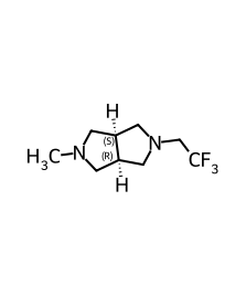 CN1C[C@@H]2CN(CC(F)(F)F)C[C@@H]2C1